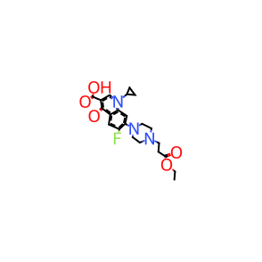 CCOC(=O)CCN1CCN(c2cc3c(cc2F)c(=O)c(C(=O)O)cn3C2CC2)CC1